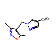 Cc1noc(C)c1Cn1cc(C=O)cn1